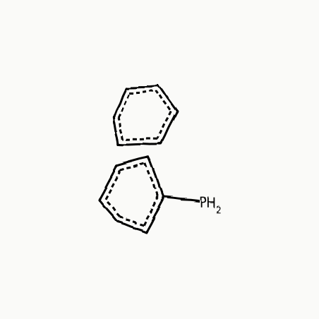 Pc1ccccc1.c1ccccc1